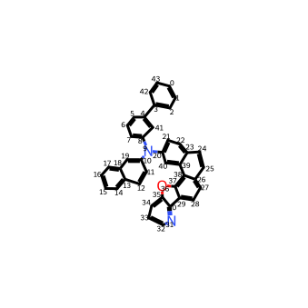 c1ccc(-c2cccc(N(c3ccc4ccccc4c3)c3ccc4ccc5ccc6c7ncccc7oc6c5c4c3)c2)cc1